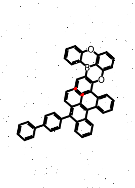 c1ccc(-c2ccc(-c3c4ccccc4c(-c4ccccc4-c4cccc5c4Oc4cccc6c4B5c4ccccc4O6)c4ccccc34)cc2)cc1